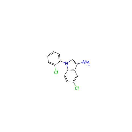 Nc1cn(-c2ccccc2Cl)c2ccc(Cl)cc12